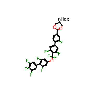 CCCCCCC1COC(c2ccc(-c3cc(F)c(C(F)(F)Oc4cc(F)c(-c5cc(F)c(F)c(F)c5)c(F)c4)c(F)c3)c(F)c2)OC1